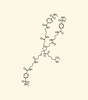 CC(C)C(C)CCCC(=O)NC(COCCC(=O)NCCCNC(=O)c1ccc(S(N)(=O)=O)cc1)(COCCC(=O)NCCCNC(=O)c1ccc(S(N)(=O)=O)cc1)COCCC(=O)NCCCNC(=O)c1ccc(S(N)(=O)=O)cc1